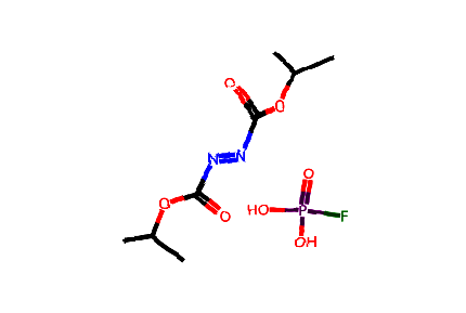 CC(C)OC(=O)N=NC(=O)OC(C)C.O=P(O)(O)F